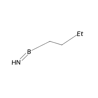 CCCCB=N